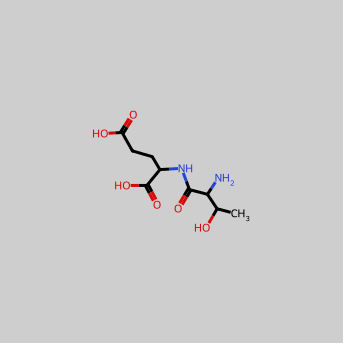 CC(O)C(N)C(=O)NC(CCC(=O)O)C(=O)O